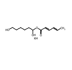 C/C=C/C=C/C(=O)OC(O)CCCCCO.[KH]